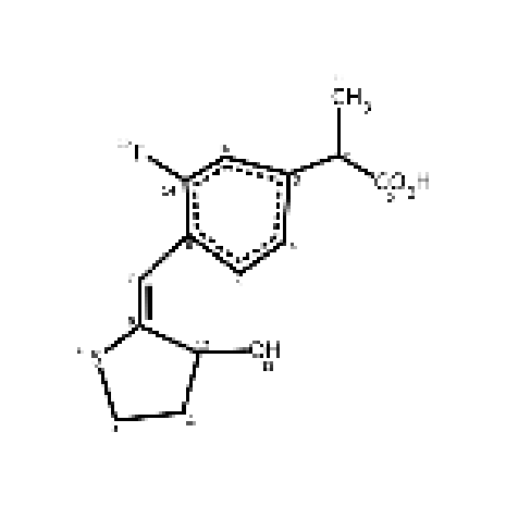 CC(C(=O)O)c1ccc(C=C2SCCC2O)c(F)c1